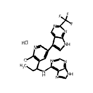 CCC(Nc1ncnc2[nH]cnc12)c1cc(-c2c[nH]c3nc(C(F)(F)F)ncc23)cnc1Cl.Cl